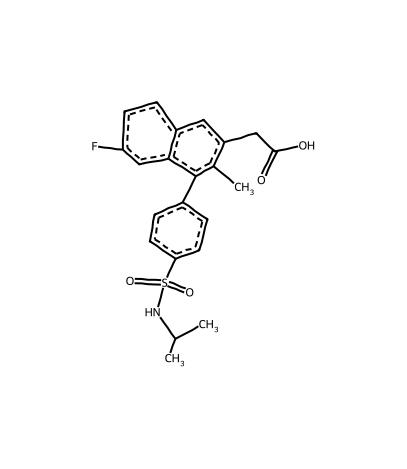 Cc1c(CC(=O)O)cc2ccc(F)cc2c1-c1ccc(S(=O)(=O)NC(C)C)cc1